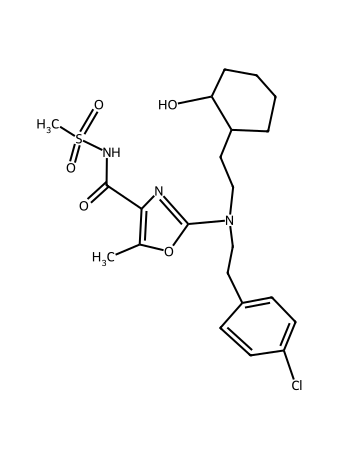 Cc1oc(N(CCc2ccc(Cl)cc2)CCC2CCCCC2O)nc1C(=O)NS(C)(=O)=O